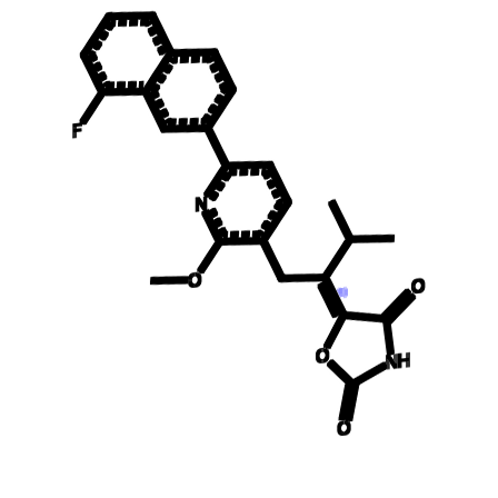 COc1nc(-c2ccc3cccc(F)c3c2)ccc1C/C(=C1\OC(=O)NC1=O)C(C)C